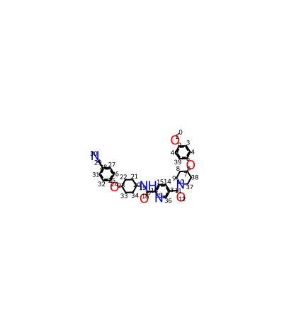 COc1ccc(OC2CCN(C(=O)c3ccc(C(=O)N[C@H]4CC[C@H](Oc5ccc(C#N)cc5)CC4)nc3)CC2)cc1